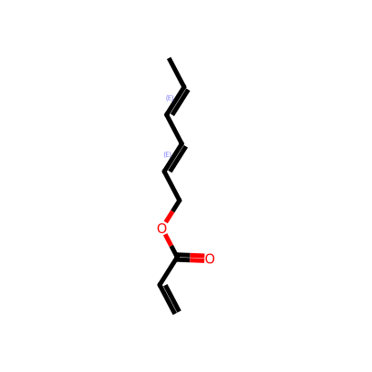 C=CC(=O)OC/C=C/C=C/C